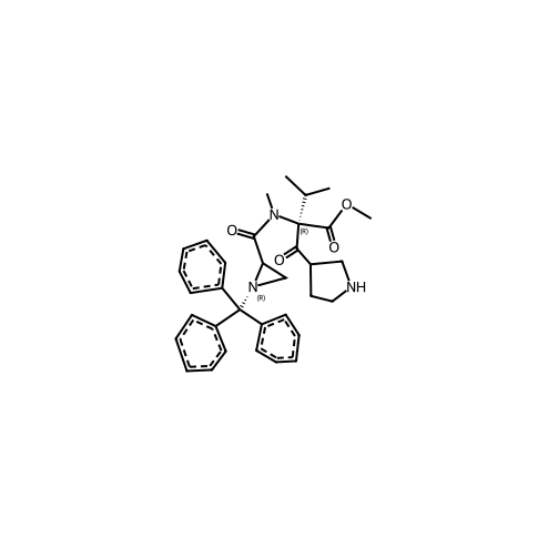 COC(=O)[C@](C(=O)C1CCNC1)(C(C)C)N(C)C(=O)C1C[N@]1C(c1ccccc1)(c1ccccc1)c1ccccc1